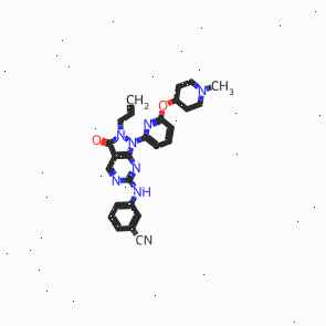 C=CCn1c(=O)c2cnc(Nc3cccc(C#N)c3)nc2n1-c1cccc(OC2CCN(C)CC2)n1